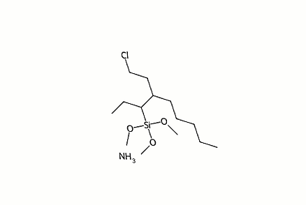 CCCCCC(CCCl)C(CC)[Si](OC)(OC)OC.N